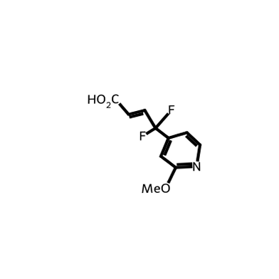 COc1cc(C(F)(F)/C=C/C(=O)O)ccn1